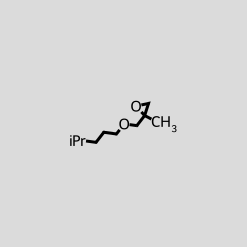 CC(C)CCCOCC1(C)CO1